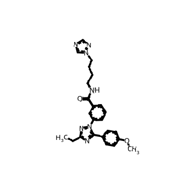 CCc1nc(-c2ccc(OC)cc2)n(-c2cccc(C(=O)NCCCCn3cncn3)c2)n1